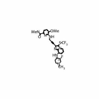 CNC(=O)c1ccc(OC)c(NCC#Cc2nc3c(N[C@@H]4CCN(C)C[C@@H]4F)cccn3c2SC(F)(F)F)n1